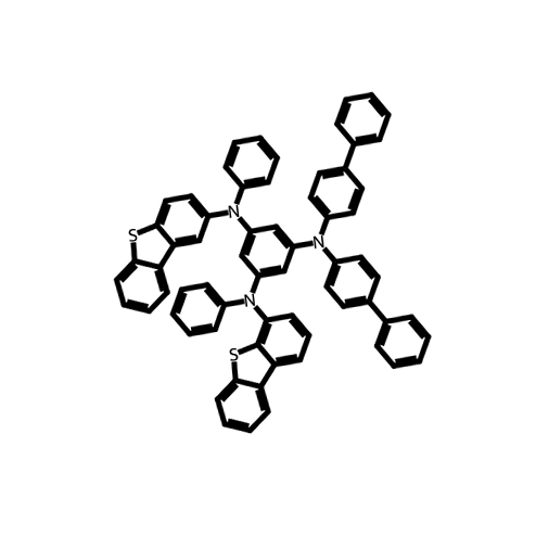 c1ccc(-c2ccc(N(c3ccc(-c4ccccc4)cc3)c3cc(N(c4ccccc4)c4ccc5sc6ccccc6c5c4)cc(N(c4ccccc4)c4cccc5c4sc4ccccc45)c3)cc2)cc1